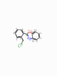 ClCc1ccccc1-c1nc2ccccc2o1